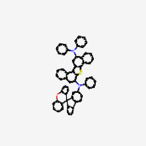 c1ccc(N(c2ccccc2)c2cc3c(sc4c(N(c5ccccc5)c5ccc6c(c5)C5(c7ccccc7Oc7ccccc75)c5ccccc5-6)cc5ccccc5c43)c3ccccc23)cc1